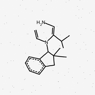 C=CN(/C(=C\N)C(C)C)C1c2ccccc2CC1(C)C